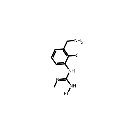 CCNC(=NC)Nc1cccc(CN)c1Cl